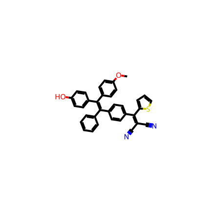 COc1ccc(C(=C(c2ccccc2)c2ccc(C(=C(C#N)C#N)c3cccs3)cc2)c2ccc(O)cc2)cc1